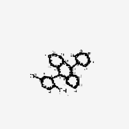 Cc1ccc(Cl)cc1-c1c2ccccc2c(-c2ccccc2)c2ccccc12